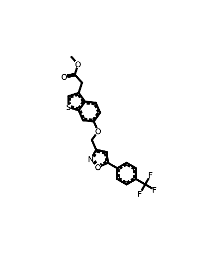 COC(=O)Cc1csc2cc(OCc3cc(-c4ccc(C(F)(F)F)cc4)on3)ccc12